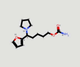 NC(=O)OCCCCC(c1ccco1)N1CCCC1